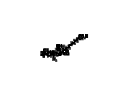 Cc1ncsc1-c1ccc([C@H](C)NC(=O)[C@@H]2C[C@@H](O)CN2C(=O)[C@@H](NC(=O)CCCCCCCCCNC(=O)O)C(C)(C)C)cc1